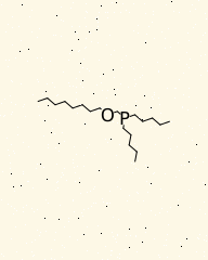 CCCCCCCCOCP(CCCCC)CCCCC